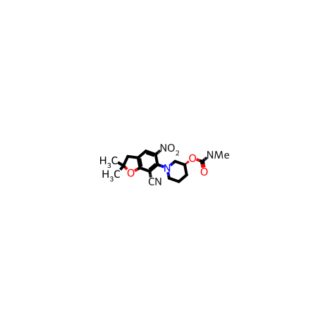 CNC(=O)O[C@H]1CCCN(c2c([N+](=O)[O-])cc3c(c2C#N)OC(C)(C)C3)C1